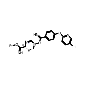 CCOC(=N)[C@H](/N=C\N(C)OC(=N)c1ccc(Oc2ccc(Cl)cn2)cc1)C(C)C